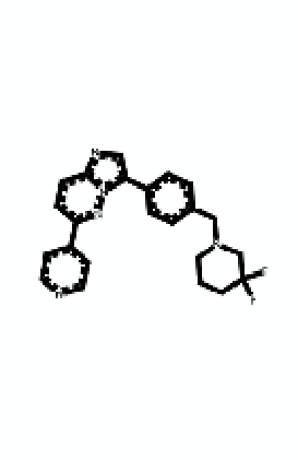 FC1(F)CCCN(Cc2ccc(-c3cnc4ccc(-c5ccncc5)nn34)cc2)C1